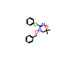 CC1(C)CN(OCc2ccccc2)C(Cl)=NO1.c1ccccc1